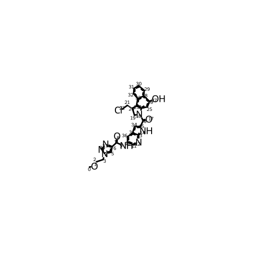 COCCn1cc(C(=O)Nc2cnc3[nH]c(C(=O)N4C[C@@H](CCl)c5c4cc(O)c4ccccc54)cc3c2)nn1